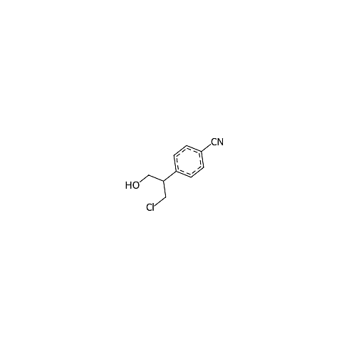 N#Cc1ccc(C(CO)CCl)cc1